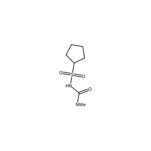 CNC(=O)NS(=O)(=O)C1CCCC1